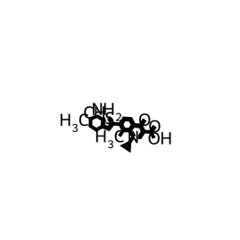 Cc1c(-c2cc3c(s2)C(N)C(C)(C)CC3)ccc2c(=O)c(C(=O)O)cn(C3CC3)c12